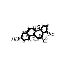 CC(=O)C1CC[C@]2(O)C3CC=C4C[C@@H](O)CC[C@]4(C)C3C[C@@H](O)[C@]12C